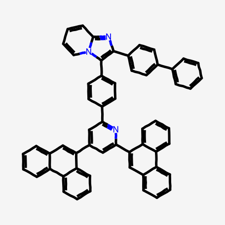 c1ccc(-c2ccc(-c3nc4ccccn4c3-c3ccc(-c4cc(-c5cc6ccccc6c6ccccc56)cc(-c5cc6ccccc6c6ccccc56)n4)cc3)cc2)cc1